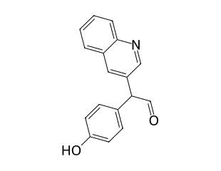 O=CC(c1ccc(O)cc1)c1cnc2ccccc2c1